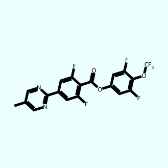 Cc1cnc(-c2cc(F)c(C(=O)Oc3cc(F)c(OC(F)(F)F)c(F)c3)c(F)c2)nc1